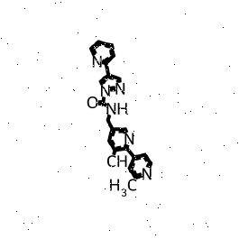 Cc1cc(-c2ncc(CNC(=O)n3cc(-c4ccccn4)cn3)cc2C)ccn1